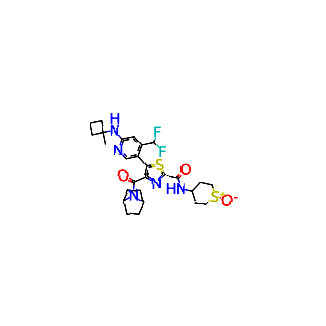 CC1(Nc2cc(C(F)F)c(-c3sc(C(=O)NC4CC[S+]([O-])CC4)nc3C(=O)N3C4CCC3CC4)cn2)CCC1